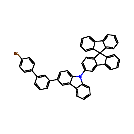 Brc1ccc(-c2cccc(-c3ccc4c(c3)c3ccccc3n4-c3ccc4c(c3)-c3ccccc3C43c4ccccc4-c4ccccc43)c2)cc1